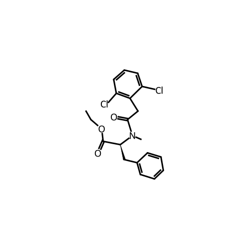 CCOC(=O)[C@H](Cc1ccccc1)N(C)C(=O)Cc1c(Cl)cccc1Cl